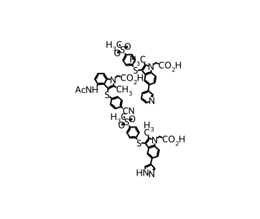 CC(=O)Nc1cccc2c1c(Sc1ccc(C#N)cc1)c(C)n2CC(=O)O.Cc1c(Sc2ccc(S(C)(=O)=O)cc2)c2cc(-c3cccnc3)ccc2n1CC(=O)O.Cc1c(Sc2ccc(S(C)(=O)=O)cc2)c2cc(-c3cn[nH]c3)ccc2n1CC(=O)O